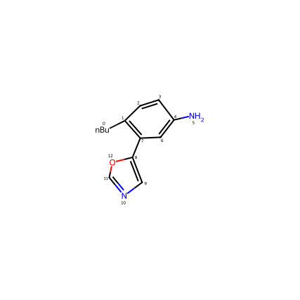 CCCCc1ccc(N)cc1-c1cnco1